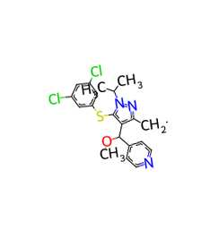 [CH2]c1nn(C(C)C)c(Sc2cc(Cl)cc(Cl)c2)c1C(OC)c1ccncc1